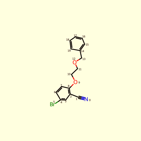 N#Cc1cc(Br)ccc1OCCOCc1ccccc1